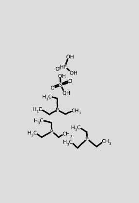 CCP(CC)CC.CCP(CC)CC.CCP(CC)CC.O=S(=O)(O)O.O=[PH](O)O